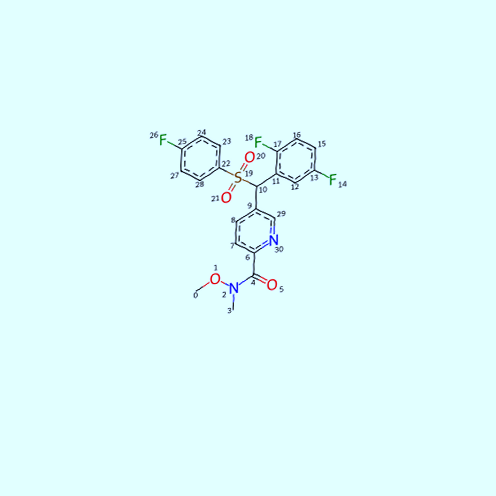 CON(C)C(=O)c1ccc(C(c2cc(F)ccc2F)S(=O)(=O)c2ccc(F)cc2)cn1